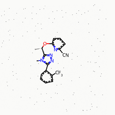 C[C@H](Oc1cccc(C#N)n1)c1nnc(-c2ccccc2C(F)(F)F)n1C